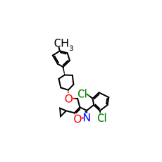 Cc1ccc([C@H]2CC[C@H](OCc3c(-c4c(Cl)cccc4Cl)noc3C3CC3)CC2)cc1